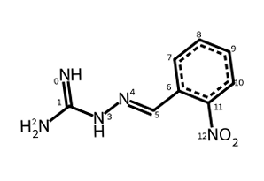 N=C(N)N/N=C/c1ccccc1[N+](=O)[O-]